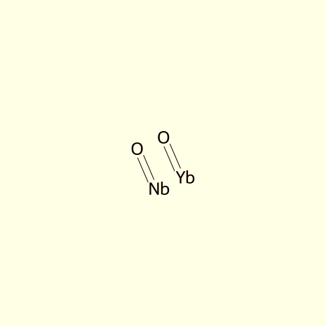 [O]=[Nb].[O]=[Yb]